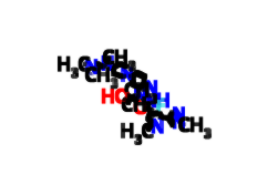 Cc1cc(C(=O)Nc2nc3ccc(N4CCC(N(C)CCN(C)C)CC4)cc3n2CC(C)(C)O)c(F)c(-c2cnn(C)c2)n1